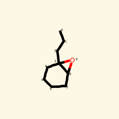 CCCC12CCCCC1O2